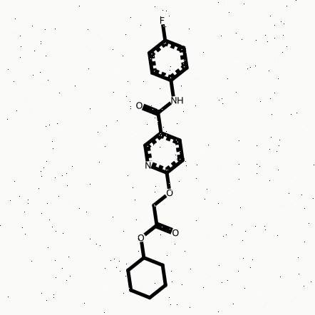 O=C(COc1ccc(C(=O)Nc2ccc(F)cc2)cn1)OC1CCCCC1